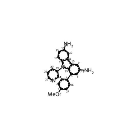 COc1ccc(-c2cc(N)cc3c4cc(N)ccc4n(-c4cccnc4)c23)cc1